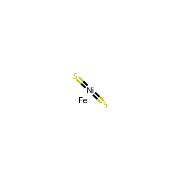 [Fe].[S]=[Ni]=[S]